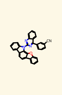 N#Cc1cccc(-c2nc(-n3c4ccccc4c4ccc5c6ccccc6oc5c43)nc3ccccc23)c1